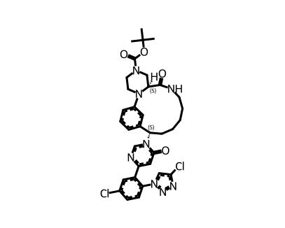 CC(C)(C)OC(=O)N1CCN2c3cccc(c3)[C@@H](n3cnc(-c4cc(Cl)ccc4-n4cc(Cl)nn4)cc3=O)CCCCCNC(=O)[C@@H]2C1